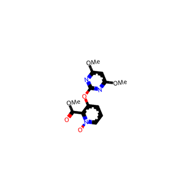 COC(=O)c1c(Oc2nc(OC)cc(OC)n2)ccc[n+]1[O-]